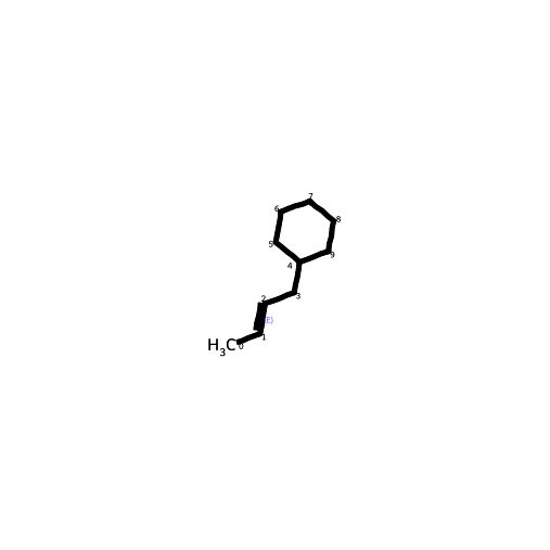 C/C=C/CC1CC[CH]CC1